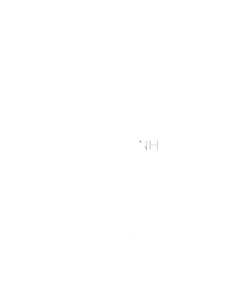 ClCCNC1=CC=CCC1